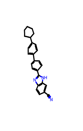 N#Cc1ccc2nc(-c3ccc(-c4ccc(C5CC[CH]CC5)cc4)cc3)[nH]c2c1